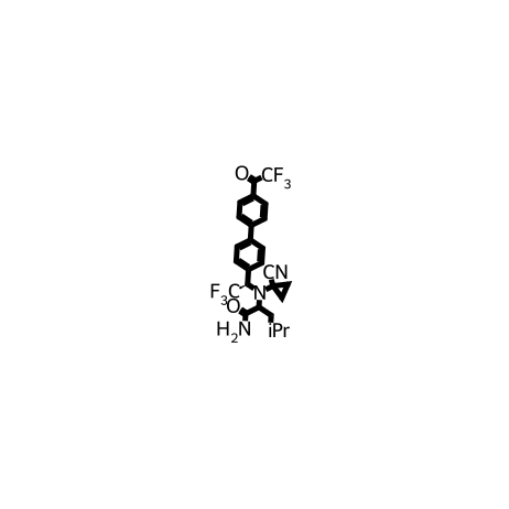 CC(C)CC(C(N)=O)N([C@@H](c1ccc(-c2ccc(C(=O)C(F)(F)F)cc2)cc1)C(F)(F)F)C1(C#N)CC1